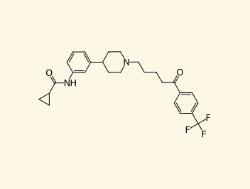 O=C(CCCCN1CCC(c2cccc(NC(=O)C3CC3)c2)CC1)c1ccc(C(F)(F)F)cc1